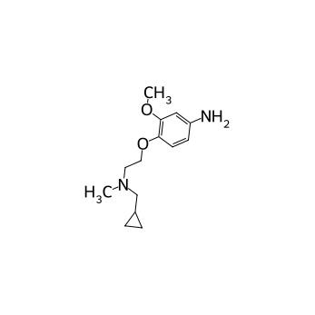 COc1cc(N)ccc1OCCN(C)CC1CC1